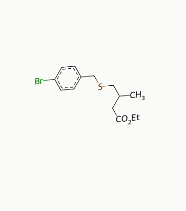 CCOC(=O)CC(C)CSCc1ccc(Br)cc1